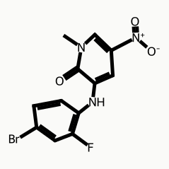 Cn1cc([N+](=O)[O-])cc(Nc2ccc(Br)cc2F)c1=O